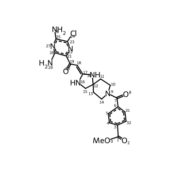 COC(=O)c1ccc(C(=O)N2CCC3(CC2)CN/C(=C\C(=O)c2nc(Cl)c(N)nc2N)N3)cc1